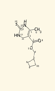 CC1=C(C(=O)OCC2CCC2)CNC(=S)N1